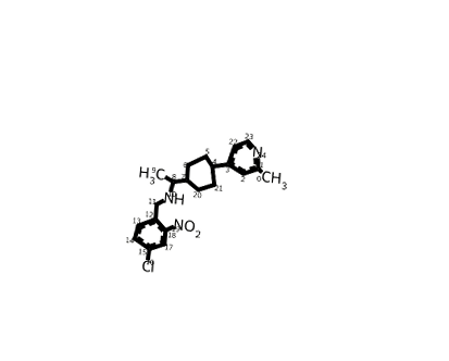 Cc1cc(C2CCC(C(C)NCc3ccc(Cl)cc3[N+](=O)[O-])CC2)ccn1